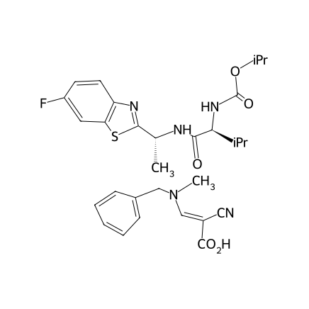 CC(C)OC(=O)N[C@H](C(=O)N[C@H](C)c1nc2ccc(F)cc2s1)C(C)C.CN(/C=C(\C#N)C(=O)O)Cc1ccccc1